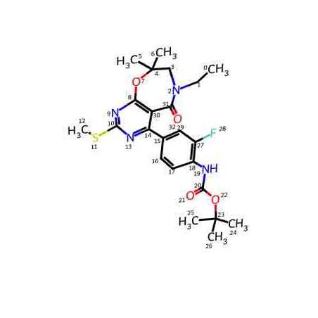 CCN1CC(C)(C)Oc2nc(SC)nc(-c3ccc(NC(=O)OC(C)(C)C)c(F)c3)c2C1=O